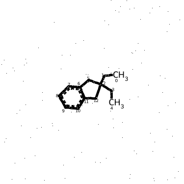 CCC1(CC)[CH]c2ccccc2C1